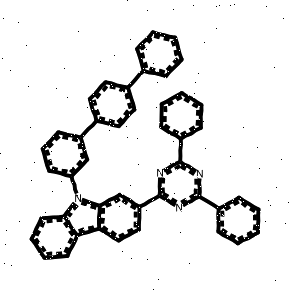 c1ccc(-c2ccc(-c3cccc(-n4c5ccccc5c5ccc(-c6nc(-c7ccccc7)nc(-c7ccccc7)n6)cc54)c3)cc2)cc1